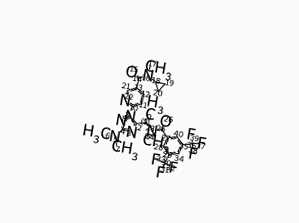 C[C@@H](c1nc(N(C)C)nn1-c1ccc(C(=O)N(C)C2CC2)cn1)N(C)C(=O)c1cc(C(F)(F)F)cc(C(F)(F)F)c1